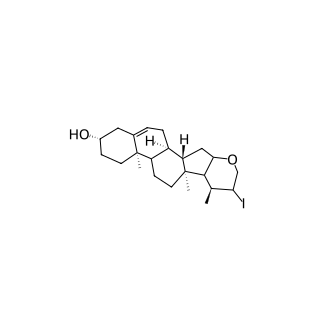 C[C@@H]1C(I)COC2C[C@H]3[C@@H]4CC=C5C[C@@H](O)CC[C@]5(C)C4CC[C@]3(C)C21